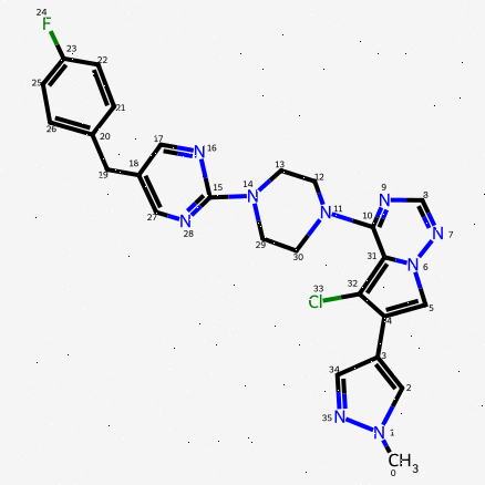 Cn1cc(-c2cn3ncnc(N4CCN(c5ncc(Cc6ccc(F)cc6)cn5)CC4)c3c2Cl)cn1